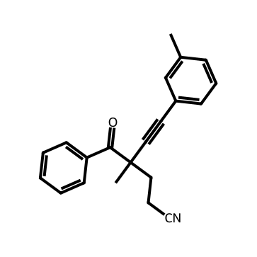 Cc1cccc(C#CC(C)(CCC#N)C(=O)c2ccccc2)c1